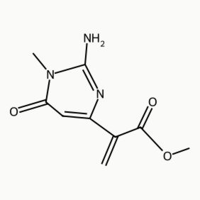 C=C(C(=O)OC)c1cc(=O)n(C)c(N)n1